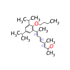 CCCCOc1c(/C(C)=C/C=C/C(C)=C/C(C)=O)cc(C(C)C)cc1C(C)C